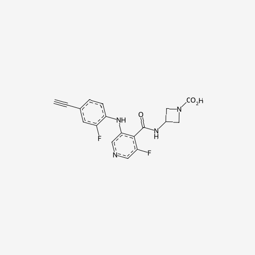 C#Cc1ccc(Nc2cncc(F)c2C(=O)NC2CN(C(=O)O)C2)c(F)c1